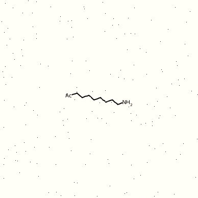 CC(=O)[CH]CCCCCCCN